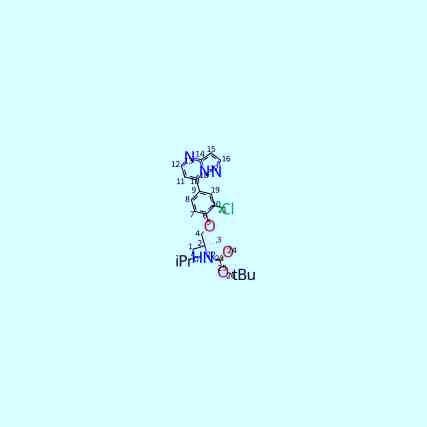 CC(C)C[C@@](C)(COc1ccc(-c2ccnc3ccnn23)cc1Cl)NC(=O)OC(C)(C)C